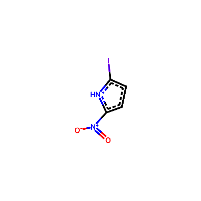 O=[N+]([O-])c1ccc(I)[nH]1